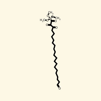 CO[Si](OC)(OC)C(=O)C(=O)C(=O)CCCCCCCCCCCCCCCCCCC=O